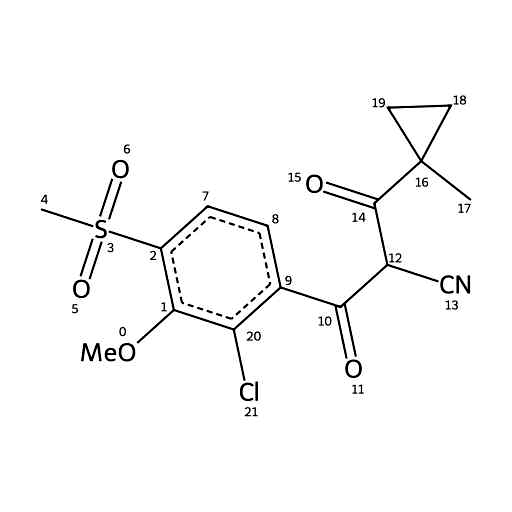 COc1c(S(C)(=O)=O)ccc(C(=O)C(C#N)C(=O)C2(C)CC2)c1Cl